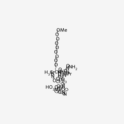 COCCOCCOCCOCCOCCOCCOCCOCCOCCCc1cc(NC(=O)[C@H](CCCNC(N)=O)NC(=O)[C@@H](N)C(C)C)ccc1C[N+]1(C)CCN(CCOc2ccc(-c3c(-c4ccc(F)cc4)sc4ncnc(O[C@H](Cc5ccccc5OCc5ccnc(-c6ccccc6OC)n5)C(=O)O)c34)c(C)c2Cl)CC1